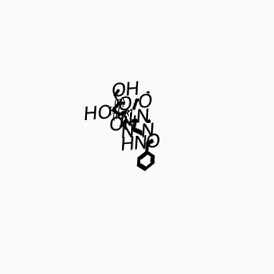 COCC[C@@]1(n2cnc3c(NC(=O)c4ccccc4)ncnc32)O[C@H](CO)[C@@H](O)[C@H]1O